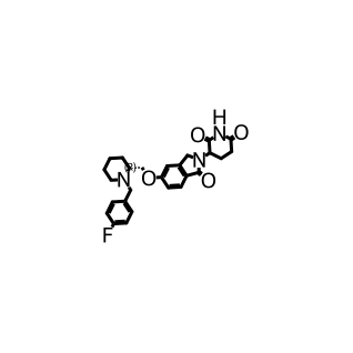 O=C1CCC(N2Cc3cc(OC[C@H]4CCCCN4Cc4ccc(F)cc4)ccc3C2=O)C(=O)N1